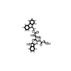 CC(C)(C)OC(=O)N[C@@H](Cc1c[nH]c2ccccc12)C(=O)NNC(=O)OCC1c2ccccc2-c2ccccc21